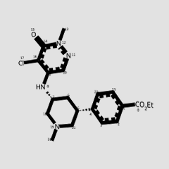 CCOC(=O)c1ccc([C@H]2C[C@@H](Nc3cnn(C)c(=O)c3Cl)CN(C)C2)cc1